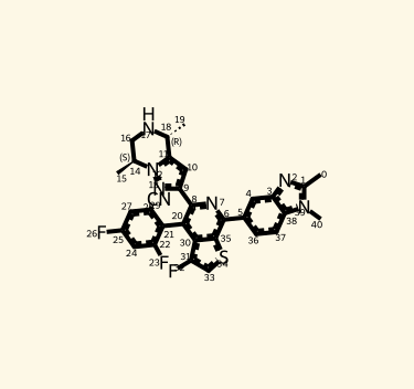 Cc1nc2cc(-c3nc(-c4cc5n(n4)[C@@H](C)CN[C@@H]5C)c(-c4c(F)cc(F)cc4C#N)c4c(F)csc34)ccc2n1C